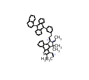 C/C=C\c1c(C)sc2c1c1c(c3ccccc32)C(=C/Cc2cccc(-c3c4ccccc4c(-c4cccc5ccccc45)c4ccccc34)c2)/C(=C\C)C1(C)C